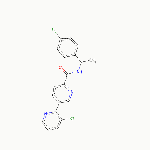 CC(NC(=O)c1ccc(-c2ncccc2Cl)cn1)c1ccc(F)cc1